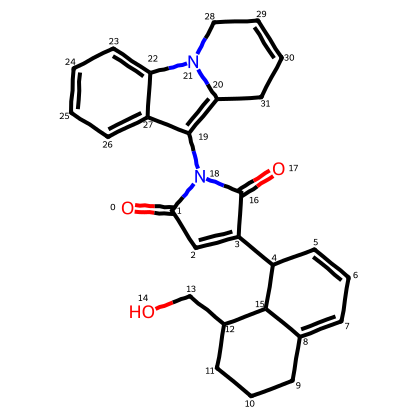 O=C1C=C(C2C=CC=C3CCCC(CO)C32)C(=O)N1c1c2n(c3ccccc13)CC=CC2